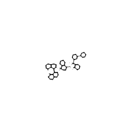 c1ccc(-c2cccc(-c3nc(-c4ccc(-n5c6ccc7cccc8sc9cccc%10ccc5c(c%109)c6c78)c5ccccc45)nc4ccccc34)c2)cc1